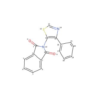 O=C1c2ccccc2C(=O)N1c1scnc1-c1ccccc1